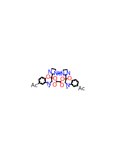 CC(=O)c1ccc2c(c1)N(C)CC(OC(=O)C(=O)OC1(C3=NCCN3)CN(C)c3cc(C(C)=O)ccc3O1)(C1=NCCN1)O2